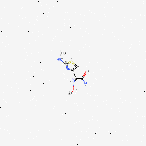 CC(C)O/N=C(\C([NH])=O)c1csc(NC=O)n1